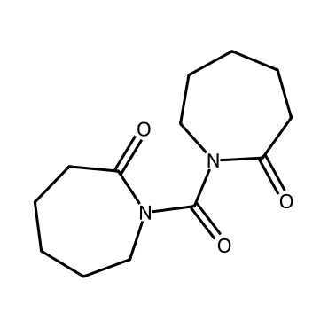 O=C1CCCCCN1C(=O)N1CCCCCC1=O